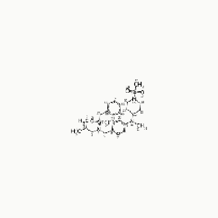 CC(C)CN(Cc1ccc(N(C)C2CCN(S(C)(=O)=O)CC2)cc1)S(=O)(=O)Cc1ccccc1